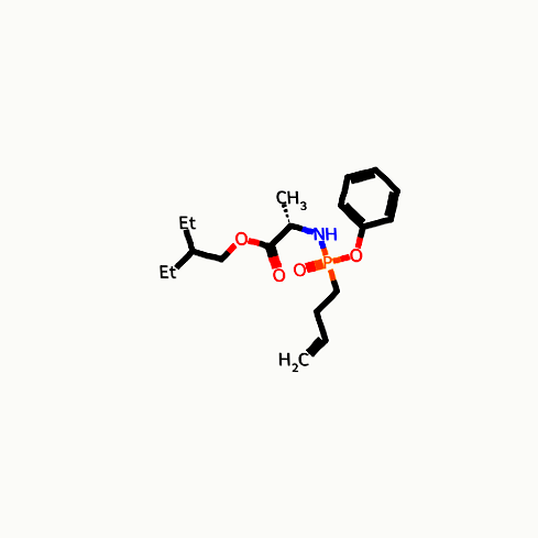 C=CCCP(=O)(N[C@@H](C)C(=O)OCC(CC)CC)Oc1ccccc1